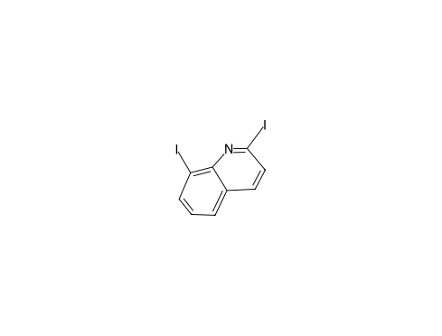 Ic1ccc2cccc(I)c2n1